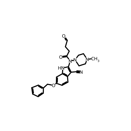 CN1CCN(N(C(=O)CCC=O)c2[nH]c3cc(OCc4ccccc4)ccc3c2C#N)CC1